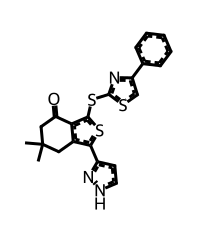 CC1(C)CC(=O)c2c(Sc3nc(-c4ccccc4)cs3)sc(-c3cc[nH]n3)c2C1